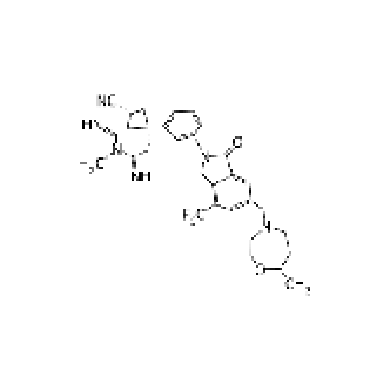 CC1CCN(Cc2cc3c(c(C(F)(F)F)c2)CN(c2cccc([C@]4(CC(=N)N(C)C=N)C[C@@H](C#N)C4)c2)C3=O)CCO1